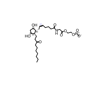 CCCCCCCC(=O)CC[C@@H]1[C@@H](C/C=C\CCCC(=O)NCC(=O)OCCO[N+](=O)[O-])[C@@H](O)C[C@H]1O